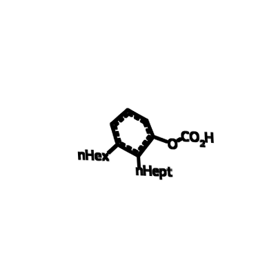 CCCCCCCc1c(CCCCCC)cccc1OC(=O)O